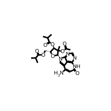 CC(=O)OC1(C)[C@H](OC(=O)C(C)C)[C@@H](COC(=O)C(C)C)O[C@H]1n1cc2c3c(ncnc31)NC(=O)C=C2N